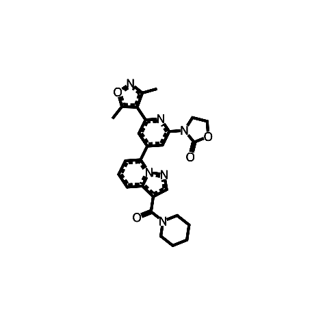 Cc1noc(C)c1-c1cc(-c2cccc3c(C(=O)N4CCCCC4)cnn23)cc(N2CCOC2=O)n1